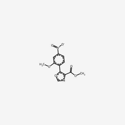 COC(=O)c1ncoc1-c1ccc([N+](=O)[O-])cc1OC